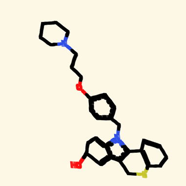 OC1C=c2c3c(n(Cc4ccc(OCCCN5CCCCC5)cc4)c2=CC1)C1=C(CCC=C1)SC3